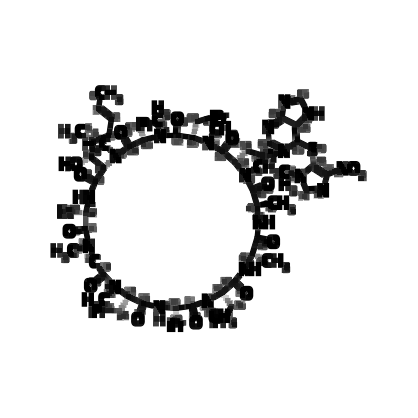 C/C=C/C[C@@H](C)[C@@H](O)[C@H]1C(=O)N[C@@H](CC)C(=O)N(C)CC(=O)N(C)[C@@H](CC(C)C)C(=O)N[C@@H](C(C)C)C(=O)N(C)[C@@H](CC(C)C)C(=O)N[C@@H](C)C(=O)N[C@H](C)C(=O)N(C)[C@@H](CC(C)C)C(=O)N(C)[C@@H](CC(C)C)C(=O)N(C)[C@@H](C(C)C)C(=O)N1C.Cn1cnc([N+](=O)[O-])c1Sc1ncnc2nc[nH]c12